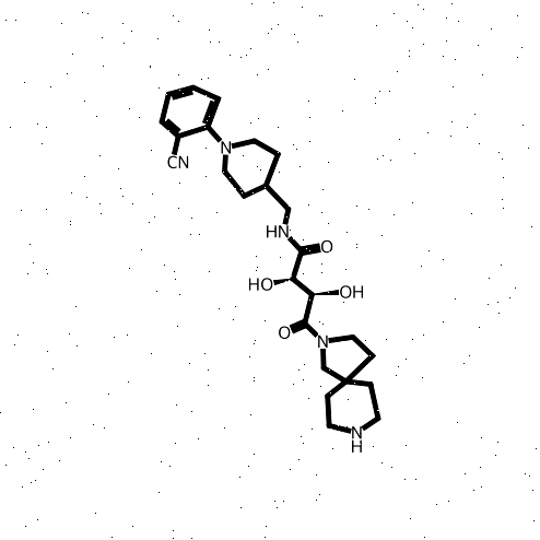 N#Cc1ccccc1N1CCC(CNC(=O)[C@H](O)[C@@H](O)C(=O)N2CCC3(CCNCC3)C2)CC1